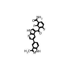 Cc1n[nH]c2ccc(-c3cnc4[nH]cc(C(=O)c5c(F)ccc(C(N)=O)c5F)c4c3)cc12